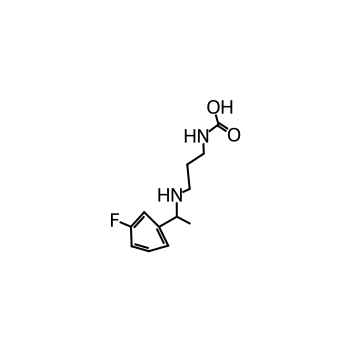 CC(NCCCNC(=O)O)c1cccc(F)c1